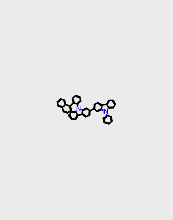 c1ccc(-n2c3ccccc3c3ccc(-c4ccc5c6ccccc6n(-c6ccccc6-c6cccc7ccccc67)c5c4)cc32)cc1